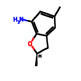 Cc1cc(N)c2c(c1)C[C@@H](C)O2